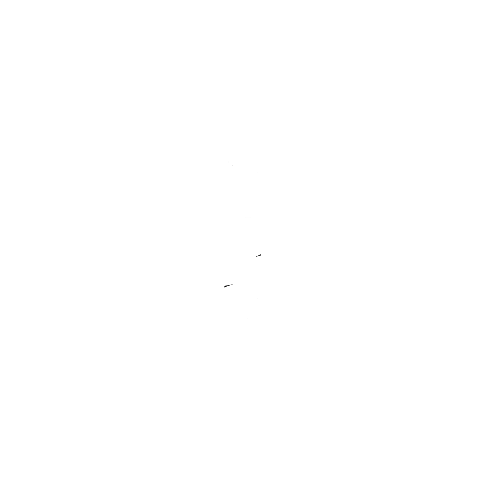 C1=CSSC1.O[C@H](CS)[C@H](O)CS